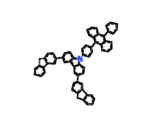 c1ccc(-c2c3ccccc3c(-c3ccc(-n4c5ccc(-c6ccc7c(c6)-c6ccccc6C7)cc5c5cc(-c6ccc7c(c6)-c6ccccc6C7)ccc54)cc3)c3ccccc23)cc1